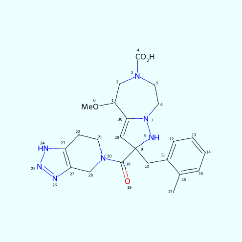 COC1CN(C(=O)O)CCN2NC(Cc3ccccc3C)(C(=O)N3CCc4[nH]nnc4C3)C=C12